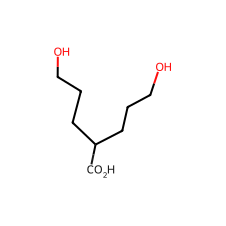 O=C(O)C(CCCO)CCCO